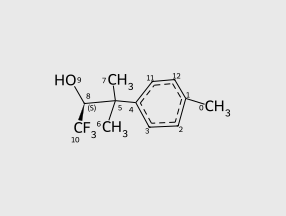 Cc1ccc(C(C)(C)[C@H](O)C(F)(F)F)cc1